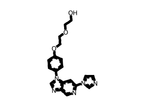 OCCOCCOc1ccc(-n2cnc3cnc(-n4ccnc4)cc32)cc1